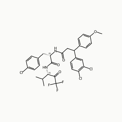 COc1ccc(C(CC(=O)N[C@@H](Cc2ccc(Cl)cc2)C(=O)N[C@H](C(=O)C(F)(F)F)C(C)C)c2ccc(Cl)c(Cl)c2)cc1